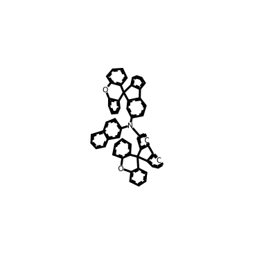 c1ccc2c(c1)Oc1ccccc1C21c2ccccc2-c2ccc(N(c3ccc4c(c3)C3(c5ccccc5Oc5ccccc53)c3ccccc3-4)c3ccc4ccccc4c3)cc21